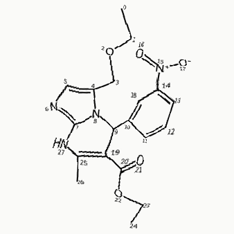 CCOCc1cnc2n1C(c1cccc([N+](=O)[O-])c1)C(C(=O)OCC)=C(C)N2